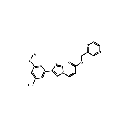 Cc1cc(OC(C)C)cc(-c2ncn(/C=C\C(=O)OCc3cnccn3)n2)c1